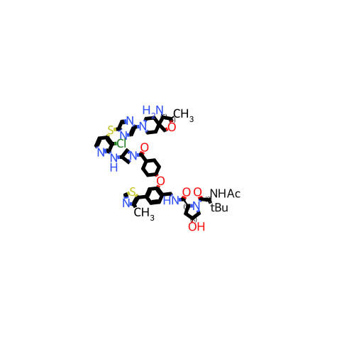 CC(=O)N[C@H](C(=O)N1C[C@H](O)C[C@H]1C(=O)NCc1ccc(-c2scnc2C)cc1OC1CCC(C(=O)N2CC(Nc3nccc(Sc4cnc(N5CCC6(CC5)CO[C@@H](C)[C@H]6N)cn4)c3Cl)C2)CC1)C(C)(C)C